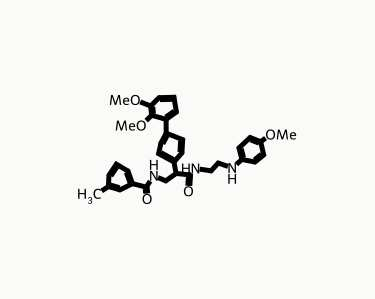 COc1ccc(NCCNC(=O)C(CNC(=O)c2cccc(C)c2)c2ccc(-c3cccc(OC)c3OC)cc2)cc1